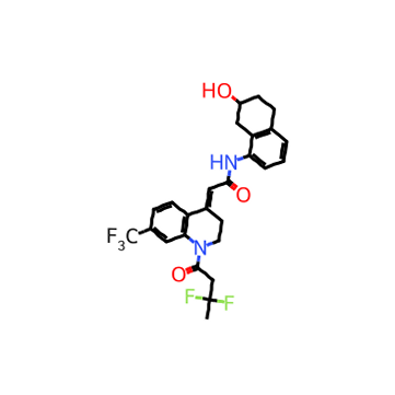 CC(F)(F)CC(=O)N1CCC(=CC(=O)Nc2cccc3c2CC(O)CC3)c2ccc(C(F)(F)F)cc21